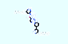 COc1cncc(NC(=O)c2ccn3c(n2)nc2ccc(-c4cncc(OC)c4)cc23)c1